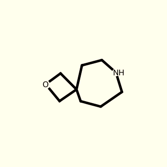 C1CNCCC2(C1)COC2